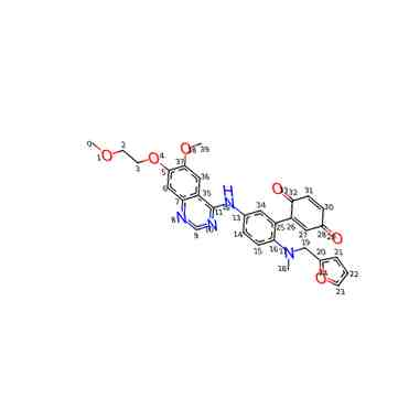 COCCOc1cc2ncnc(Nc3ccc(N(C)Cc4ccco4)c(C4=CC(=O)C=CC4=O)c3)c2cc1OC